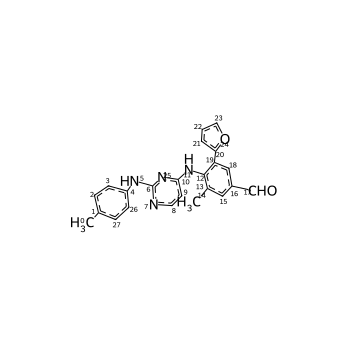 Cc1ccc(Nc2nccc(Nc3c(C)cc(C=O)cc3-c3ccco3)n2)cc1